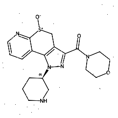 O=C(c1nn([C@@H]2CCCNC2)c2c1C[S+]([O-])c1ncccc1-2)N1CCOCC1